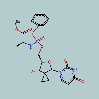 C[C@H](NP(=O)(OC[C@H]1O[C@@H](n2ccc(=O)[nH]c2=O)C2(CC2)[C@@H]1O)Oc1ccccc1)C(=O)OC(C)(C)C